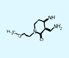 COCCN1CCC(=N)/C(=C\N)C1=O